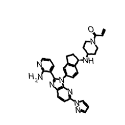 C=CC(=O)N1CCC(N[C@@H]2CCc3cc(-n4c(-c5cccnc5N)nc5ccc(-n6cccn6)nc54)ccc32)CC1